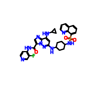 O=C(Nc1ccncc1F)c1cnc2c(NC3CC3)cc(NC3CCC(NS(=O)(=O)c4cccc5cccnc45)CC3)nn12